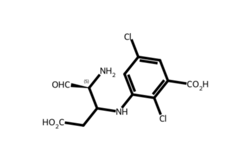 N[C@H](C=O)C(CC(=O)O)Nc1cc(Cl)cc(C(=O)O)c1Cl